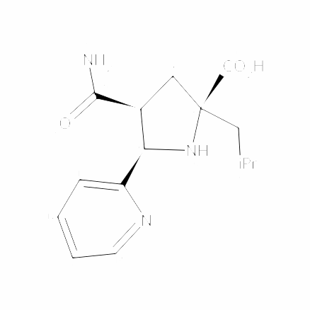 CC(C)C[C@@]1(C(=O)O)C[C@H](C(N)=O)[C@H](c2ccccn2)N1